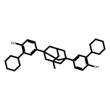 CC12CC3CC(c4ccc(O)c(C5CCCCC5)c4)(C1)CC(c1ccc(O)c(C4CCCCC4)c1)(C3)C2